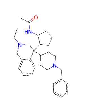 CCN1Cc2ccccc2C(C2CCN(Cc3ccccc3)CC2)([C@H]2CCCC2NC(C)=O)C1